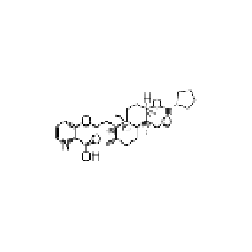 C=C1CCC2[C@]3(C)CO[C@@H](C4CCCC4)O[C@@H]3CC[C@@]2(C)[C@@H]1CCOc1cccnc1C(=O)O